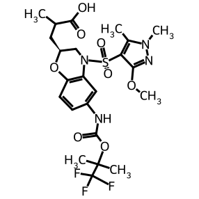 COc1nn(C)c(C)c1S(=O)(=O)N1C[C@H](CC(C)C(=O)O)Oc2ccc(NC(=O)OC(C)(C)C(F)(F)F)cc21